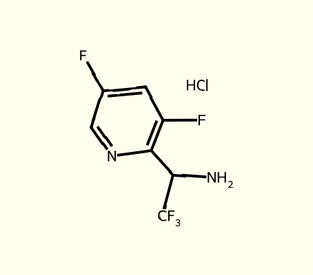 Cl.NC(c1ncc(F)cc1F)C(F)(F)F